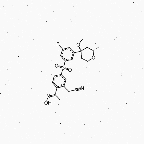 CO[C@]1(c2cc(F)cc(S(=O)(=O)c3ccc(/C(C)=N/O)c(CC#N)c3)c2)CCO[C@@H](C)C1